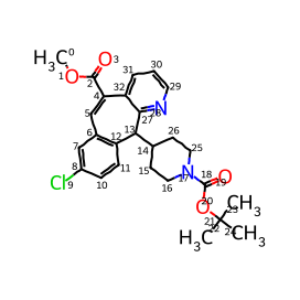 COC(=O)C1=Cc2cc(Cl)ccc2C(C2CCN(C(=O)OC(C)(C)C)CC2)c2ncccc21